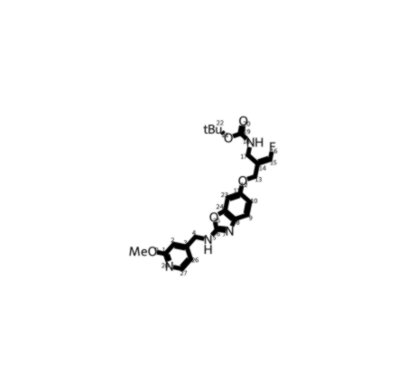 COc1cc(CNc2nc3ccc(OCC(=CF)CNC(=O)OC(C)(C)C)cc3o2)ccn1